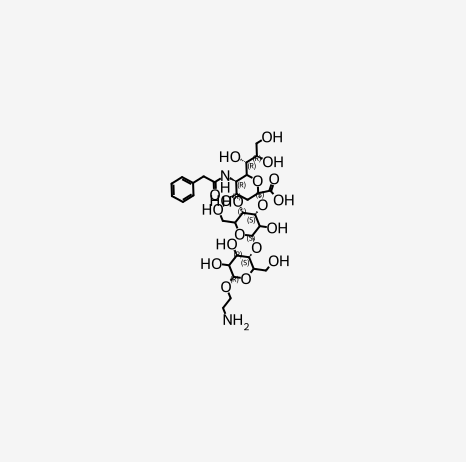 NCCO[C@@H]1OC(CO)[C@@H](O[C@@H]2OC(CO)[C@H](O)[C@H](O[C@]3(C(=O)O)C[C@@H](O)[C@@H](NC(=O)Cc4ccccc4)C([C@H](O)[C@H](O)CO)O3)C2O)[C@H](O)C1O